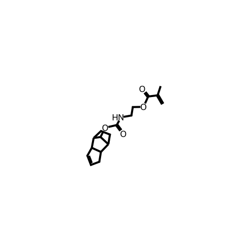 C=C(C)C(=O)OCCNC(=O)OC1C2CCC1C1CC=CC12